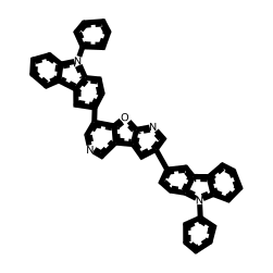 c1ccc(-n2c3ccccc3c3cc(-c4cnc5oc6c(-c7ccc8c(c7)c7ccccc7n8-c7ccccc7)cncc6c5c4)ccc32)cc1